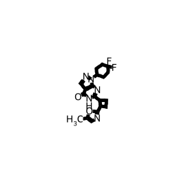 Cc1cnc(C2CCC2c2nc3c(cnn3C3CCC(F)(F)CC3)c(=O)[nH]2)o1